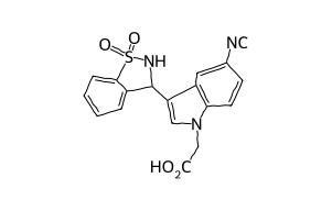 [C-]#[N+]c1ccc2c(c1)c(C1NS(=O)(=O)c3ccccc31)cn2CC(=O)O